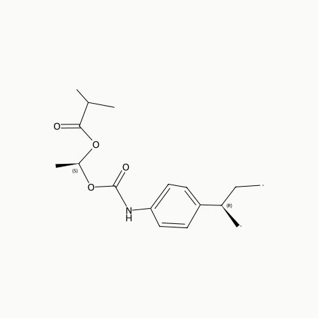 [CH2]C[C@@H]([CH2])c1ccc(NC(=O)O[C@@H](C)OC(=O)C(C)C)cc1